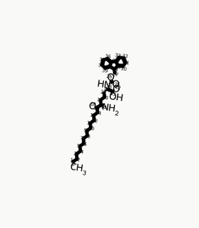 CCCCCCCCCCCCCCCC(=O)C(N)CCC[C@@H](NC(=O)OCC1c2ccccc2-c2ccccc21)C(=O)O